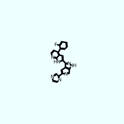 Fc1ccccc1-c1ccnc2[nH]c(-c3n[nH]c4cnc(-c5cnccn5)cc34)cc12